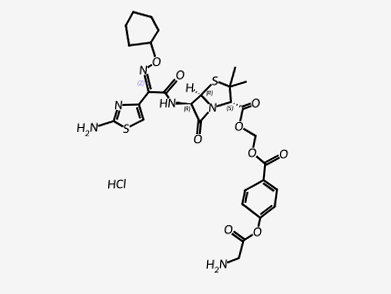 CC1(C)S[C@@H]2[C@H](NC(=O)/C(=N\OC3CCCCC3)c3csc(N)n3)C(=O)N2[C@H]1C(=O)OCOC(=O)c1ccc(OC(=O)CN)cc1.Cl